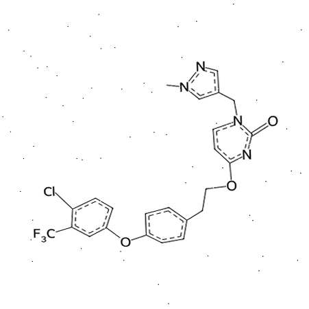 Cn1cc(Cn2ccc(OCCc3ccc(Oc4ccc(Cl)c(C(F)(F)F)c4)cc3)nc2=O)cn1